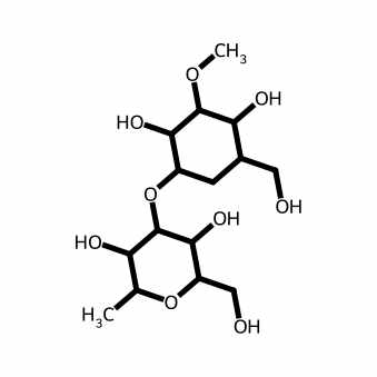 COC1C(O)C(CO)CC(OC2C(O)C(C)OC(CO)C2O)C1O